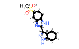 CS(=O)(=O)c1ccc2[nH]c(-c3n[nH]c4ccccc34)nc2c1